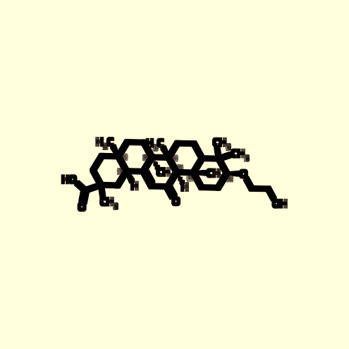 CC1(C(=O)O)CC[C@]2(C)CC[C@]3(C)C(=CC(=O)[C@@H]4[C@@]5(C)CC[C@H](OCCO)C(C)(C)C5CC[C@]43C)[C@@H]2C1